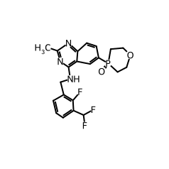 Cc1nc(NCc2cccc(C(F)F)c2F)c2cc(P3(=O)CCOCC3)ccc2n1